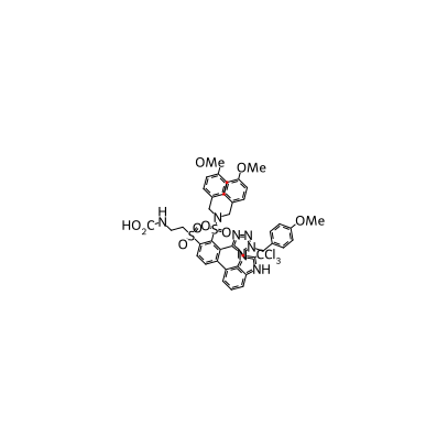 COc1ccc(CN(Cc2ccc(OC)cc2)S(=O)(=O)c2c(S(=O)(=O)CCNC(=O)O)ccc(-c3cccc4[nH]c(C(Cl)(Cl)Cl)nc34)c2-c2nnn(Cc3ccc(OC)cc3)n2)cc1